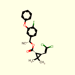 CC1(C)[C@H](C=C(Cl)Cl)[C@H]1C(=O)O[C@H](C#N)c1ccc(F)c(Oc2ccccc2)c1